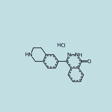 Cl.O=c1[nH]nc(-c2ccc3c(c2)CCNC3)c2ccccc12